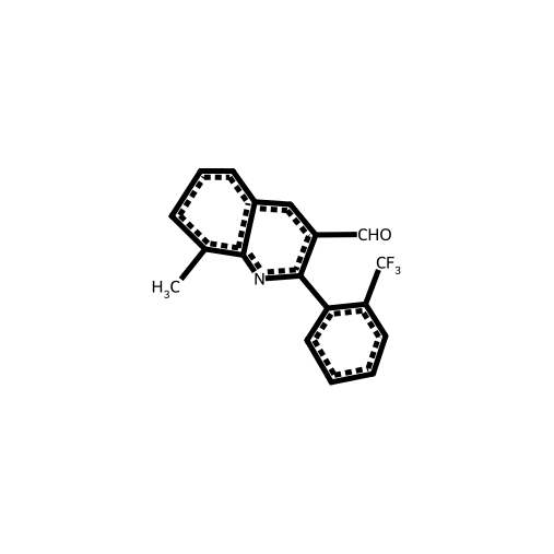 Cc1cccc2cc(C=O)c(-c3ccccc3C(F)(F)F)nc12